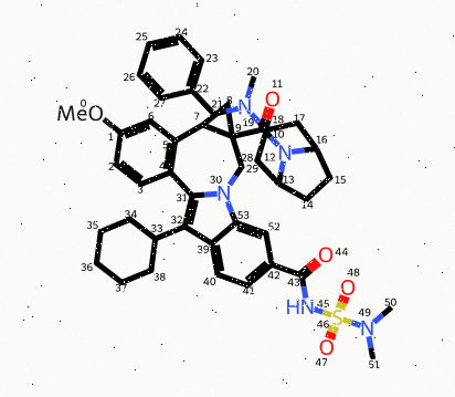 COc1ccc2c(c1)C1CC1(C(=O)N1C3CCC1CC(N(C)Cc1ccccc1)C3)Cn1c-2c(C2CCCCC2)c2ccc(C(=O)NS(=O)(=O)N(C)C)cc21